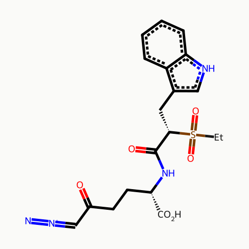 CCS(=O)(=O)[C@@H](Cc1c[nH]c2ccccc12)C(=O)N[C@@H](CCC(=O)C=[N+]=[N-])C(=O)O